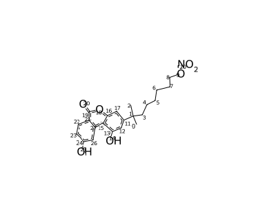 CC(C)(CCCCCCO[N+](=O)[O-])c1cc(O)c2c(c1)oc(=O)c1ccc(O)cc12